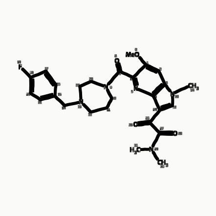 COc1cc2c(nc1C(=O)N1CCCN(Cc3ccc(F)cc3)CC1)c(C(=O)C(=O)N(C)C)cn2C